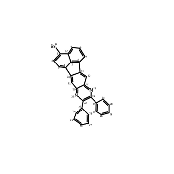 Brc1ccc2c3c(cccc13)-c1cc3nc(-c4ccccc4)c(-c4ccccc4)nc3cc1-2